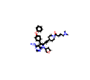 CN(C)C/C=C/C(=O)N1CCC(C#Cc2c(-c3ccc(Oc4ccccc4)cc3)c3c(N)ncnc3n2C2CCOC2)CC1